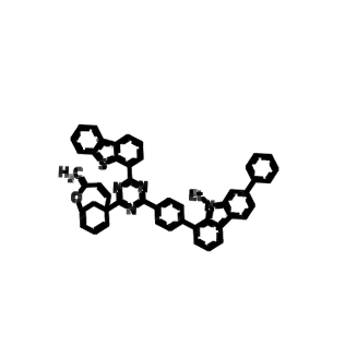 C=C1C=CC2(c3nc(-c4ccc(-c5cccc6c7ccc(-c8ccccc8)cc7n(CC)c56)cc4)nc(-c4cccc5c4sc4ccccc45)n3)C=CC=C(C2)O1